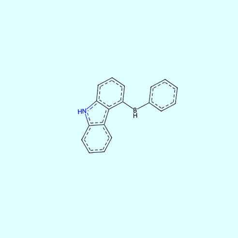 B(c1ccccc1)c1cccc2[nH]c3ccccc3c12